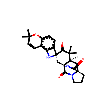 CC1(C)C=Cc2c(ccc3c2N[C@@]32C[C@@]34NC(=O)[C@]5(CCCN5C3=O)C[C@@H]4C(C)(C)C2=O)O1